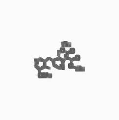 COc1cncc(Cc2ccnc(N(C(=O)OC(C)(C)C)C(=O)OC(C)(C)C)c2F)c1C